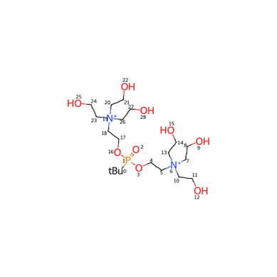 CC(C)(C)P(=O)(OCC[N+](CCO)(CCO)CCO)OCC[N+](CCO)(CCO)CCO